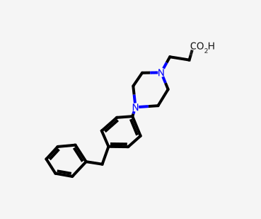 O=C(O)CCN1CCN(c2ccc(Cc3ccccc3)cc2)CC1